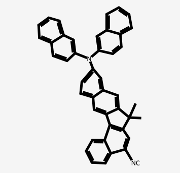 [C-]#[N+]c1cc2c(c3ccccc13)-c1cc3ccc(N(c4ccc5ccccc5c4)c4ccc5ccccc5c4)cc3cc1C2(C)C